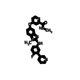 CNC(=O)c1cc(Oc2ccc3c(c2)nc(Nc2ccc(F)c(-c4cccnc4)c2)n3C)ccn1